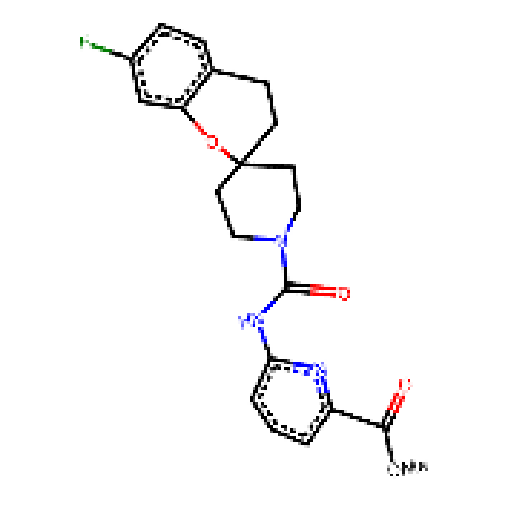 COC(=O)c1cccc(NC(=O)N2CCC3(CCc4ccc(F)cc4O3)CC2)n1